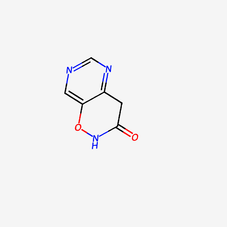 O=C1Cc2ncncc2ON1